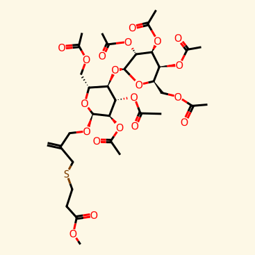 C=C(CO[C@H]1O[C@H](COC(C)=O)[C@@H](O[C@@H]2O[C@H](COC(C)=O)[C@H](OC(C)=O)[C@H](OC(C)=O)[C@H]2OC(C)=O)[C@H](OC(C)=O)[C@H]1OC(C)=O)CSCCC(=O)OC